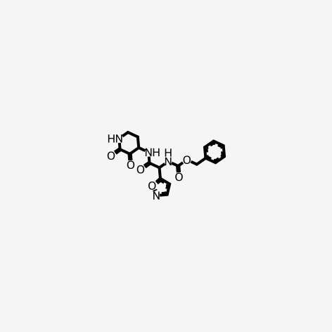 O=C(NC(C(=O)NC1CCNC(=O)C1=O)c1ccno1)OCc1ccccc1